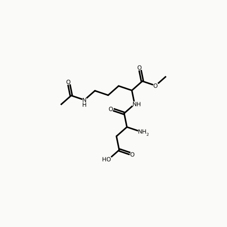 COC(=O)C(CCCNC(C)=O)NC(=O)C(N)CC(=O)O